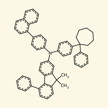 CC1(C)c2cc(N(c3ccc(-c4cccc5ccccc45)cc3)c3ccc(C4(c5ccccc5)CCCCCC4)cc3)ccc2-c2c(-c3ccccc3)cccc21